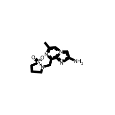 Cc1cn2cc(N)nc2c(CN2CCCS2(=O)=O)n1